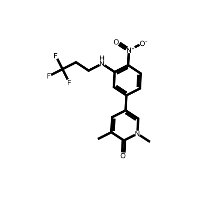 Cc1cc(-c2ccc([N+](=O)[O-])c(NCCC(F)(F)F)c2)cn(C)c1=O